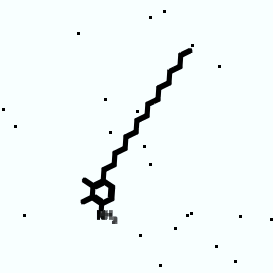 CCCCCCCCCCCCCCCCc1ccc(N)c(C)c1C